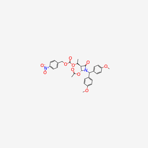 COc1ccc(C(c2ccc(OC)cc2)N2C(=O)[C@H](C(C)OC(=O)OCc3ccc([N+](=O)[O-])cc3)[C@H]2OC(C)=O)cc1